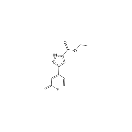 C=C/C(=C\C(=C)F)c1cc(C(=O)OCC)[nH]n1